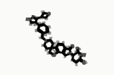 O=C1CCC(N2Cc3c(ccc4c3OCC43CCN(Cc4cccc(-c5c[nH]nc5C5COC5)c4)CC3)C2=O)C(=O)N1